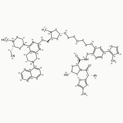 Cc1cc([C@H](C(=O)N2C[C@H](O)C[C@H]2C(=O)NCc2ccc(-c3scnc3C)cc2OCCOCCO[C@@H]2C[C@@H](COc3nc4c(c(N5CCN(C(=O)O)[C@@H](CC#N)C5)n3)CCN(c3cccc5ccccc35)C4)N(C)C2)C(C)C)on1